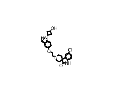 O=C1Nc2ccc(Cl)cc2C12CCN(CCOc1ccc3c(cnn3[C@H]3C[C@H](O)C3)c1)CC2